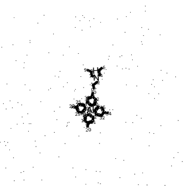 CCC[NH+](CCC)CCC.Cc1cc[c]([Al-]([c]2ccc(C)cc2)([c]2ccc(C)cc2)[c]2ccc(C)cc2)cc1